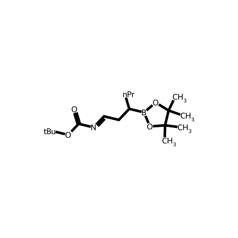 CCCC(C/C=N/C(=O)OC(C)(C)C)B1OC(C)(C)C(C)(C)O1